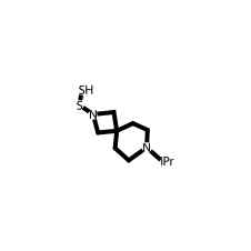 CC(C)N1CCC2(CC1)CN(SS)C2